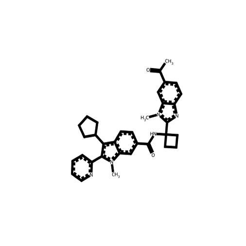 CC(=O)c1ccc2nc(C3(NC(=O)c4ccc5c(C6CCCC6)c(-c6ccccn6)n(C)c5c4)CCC3)n(C)c2c1